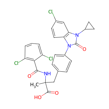 CC(Cc1ccc(-n2c(=O)n(C3CC3)c3cc(Cl)ccc32)cc1)(NC(=O)c1c(Cl)cccc1Cl)C(=O)O